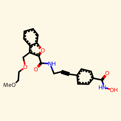 COCCOCc1c(C(=O)NCC#Cc2ccc(C(=O)NO)cc2)oc2ccccc12